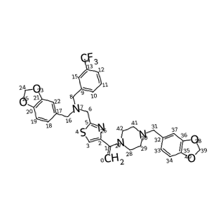 C=C(c1csc(CN(Cc2cccc(C(F)(F)F)c2)Cc2ccc3c(c2)OCO3)n1)N1CCN(Cc2ccc3c(c2)OCO3)CC1